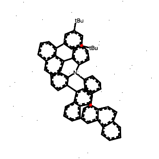 CC(C)(C)c1cc(-c2cccc3cccc(-c4ccccc4N(c4cccc(-c5cccc6c5ccc5ccccc56)c4)c4ccccc4-c4cccc5ccccc45)c23)cc(C(C)(C)C)c1